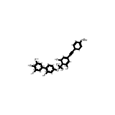 CCCCC1=CCC(C#CC2=CC(F)C(C(F)(F)Oc3ccc(-c4cc(F)c(F)c(F)c4)c(F)c3)C(F)=C2)C=C1